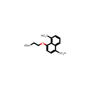 CCCCCCCCCCCCOc1ccc(S(=O)(=O)O)c2cccc(S(=O)(=O)O)c12